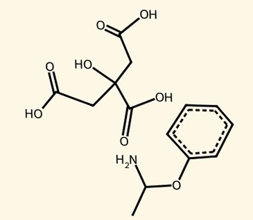 CC(N)Oc1ccccc1.O=C(O)CC(O)(CC(=O)O)C(=O)O